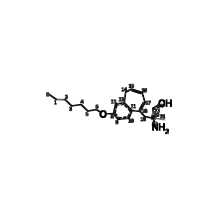 CCCCCCCOc1ccc2c(c1)CC=CC=C2C[C@](C)(N)CO